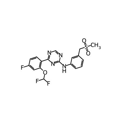 CS(=O)(=O)Cc1cccc(Nc2ncnc(-c3ccc(F)cc3OC(F)F)n2)c1